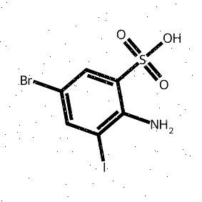 Nc1c(I)cc(Br)cc1S(=O)(=O)O